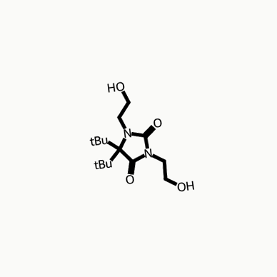 CC(C)(C)C1(C(C)(C)C)C(=O)N(CCO)C(=O)N1CCO